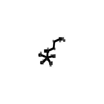 NCC[NH][W]([Cl])([Cl])([Cl])[Cl]